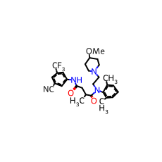 COC1CCN(CCN(C(=O)C(C)CC(=O)Nc2cc(C#N)cc(C(F)(F)F)c2)c2c(C)cccc2C)CC1